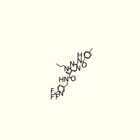 CCCn1cc(C(=O)NCc2ccc(C(F)(F)F)nc2)c2cnc(NC(=O)c3ccc(C)cc3)nc21